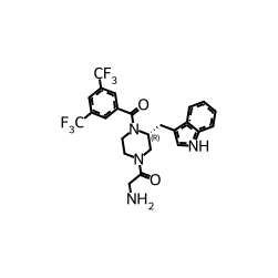 NCC(=O)N1CCN(C(=O)c2cc(C(F)(F)F)cc(C(F)(F)F)c2)[C@H](Cc2c[nH]c3ccccc23)C1